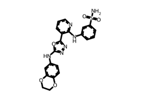 NS(=O)(=O)c1cccc(Nc2ncccc2-c2nnc(Nc3ccc4c(c3)OCCO4)o2)c1